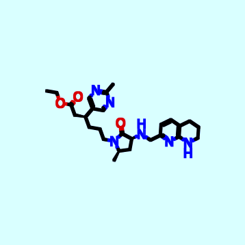 CCOC(=O)C[C@H](CCCN1C(=O)[C@@H](NCc2ccc3c(n2)NCCC3)C[C@H]1C)c1cnc(C)nc1